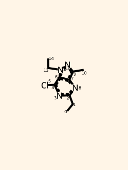 CCc1nc(Cl)c2c(n1)c(C)nn2CC